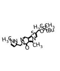 Cc1c2c(=O)n(Cc3ccn(C)n3)ncc2c2sc(CO[Si](C)(C)C(C)(C)C)cn12